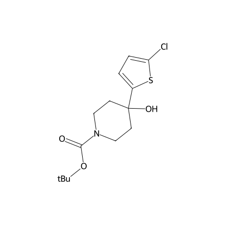 CC(C)(C)OC(=O)N1CCC(O)(c2ccc(Cl)s2)CC1